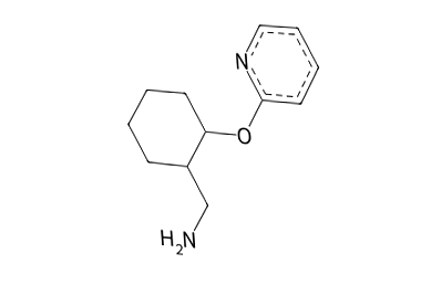 NCC1CCCCC1Oc1ccccn1